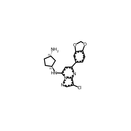 N[C@H]1CC[C@H](Nc2cc(-c3ccc4c(c3)OCO4)nc3c(Cl)cnn23)C1